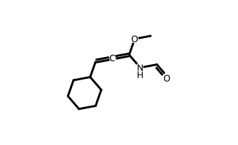 COC(=C=CC1CCCCC1)NC=O